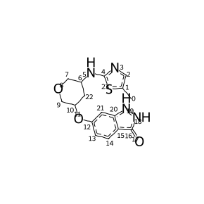 Cc1cnc(NC2COCC(Oc3ccc4c(=O)[nH][nH]c4c3)C2)s1